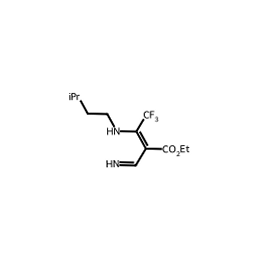 CCOC(=O)/C(C=N)=C(/NCCC(C)C)C(F)(F)F